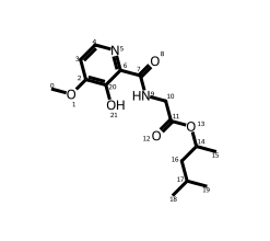 COc1ccnc(C(=O)NCC(=O)OC(C)CC(C)C)c1O